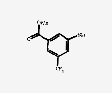 COC(=O)c1cc(C(C)(C)C)cc(C(F)(F)F)c1